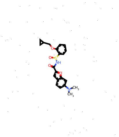 CN(C)c1ccc2cc(C(=O)N[S+]([O-])c3ccccc3OCC3CC3)oc2c1